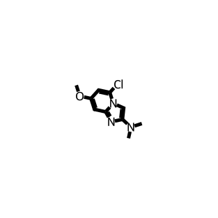 COc1cc(Cl)n2cc(N(C)C)nc2c1